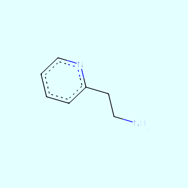 NCCc1cc[c]cn1